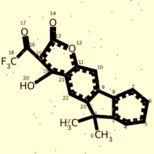 CC1(C)c2ccccc2-c2cc3oc(=O)c(C(=O)C(F)(F)F)c(O)c3cc21